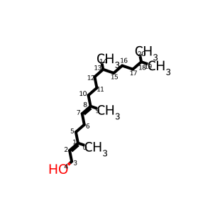 C/C(=C\CO)CC/C=C(\C)CCCC(C)CCCC(C)C